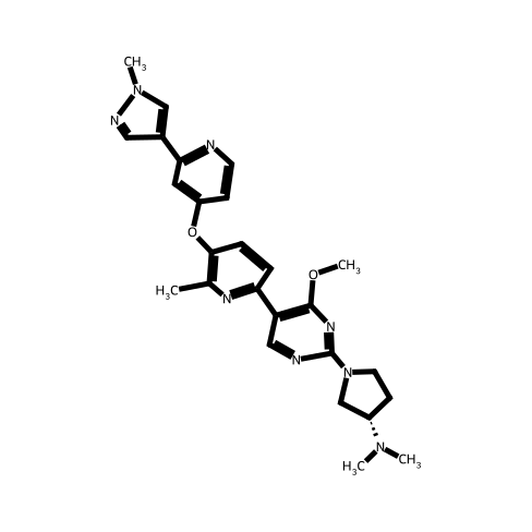 COc1nc(N2CC[C@H](N(C)C)C2)ncc1-c1ccc(Oc2ccnc(-c3cnn(C)c3)c2)c(C)n1